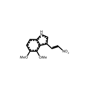 COc1ccc2[nH]cc(C=C[N+](=O)[O-])c2c1OC